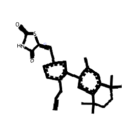 C=CCc1ccc(/C=C2/SC(=O)NC2=O)cc1-c1cc2c(cc1C)C(C)(C)CCC2(C)C